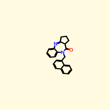 O=C1C2CCCC2=Nc2ccccc2N1Cc1cccc2ccccc12